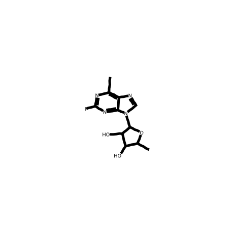 Cc1nc(I)nc2c1ncn2C1OC(C)C(O)C1O